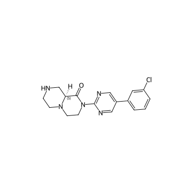 O=C1[C@@H]2CNCCN2CCN1c1ncc(-c2cccc(Cl)c2)cn1